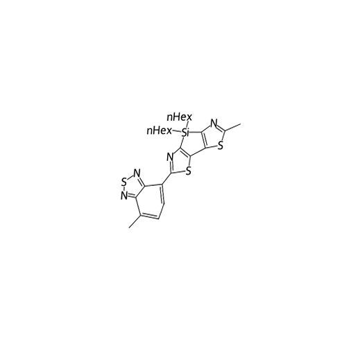 CCCCCC[Si]1(CCCCCC)c2nc(C)sc2-c2sc(-c3ccc(C)c4nsnc34)nc21